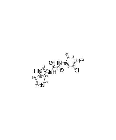 Cc1cc(F)c(Cl)cc1NC(=O)C(=O)Nc1c[nH]c2ccncc12